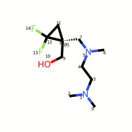 CN(C)CCN(C)C[C@@]1(CO)CC1(F)F